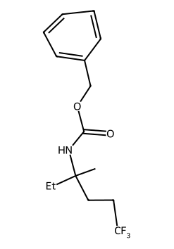 CCC(C)(CCC(F)(F)F)NC(=O)OCc1ccccc1